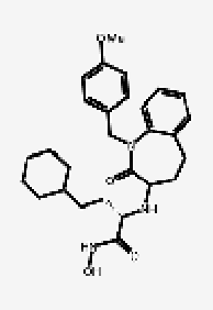 COc1ccc(CN2C(=O)C(N[C@@H](CCC3CCCCC3)C(=O)NO)CCc3ccccc32)cc1